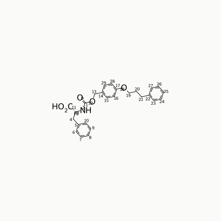 O=C(N[C@H](Cc1ccccc1)C(=O)O)OCc1ccc(OCCCc2ccccc2)cc1